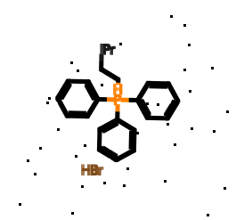 Br.CC(C)CC[PH](c1ccccc1)(c1ccccc1)c1ccccc1